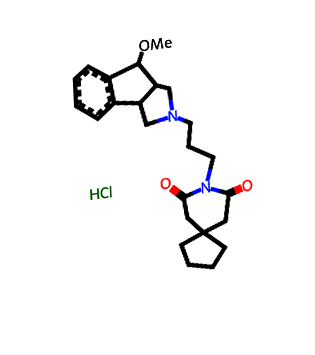 COC1c2ccccc2C2CN(CCCN3C(=O)CC4(CCCC4)CC3=O)CC21.Cl